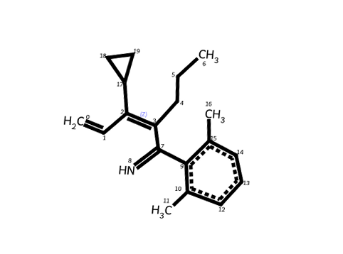 C=C/C(=C(/CCC)C(=N)c1c(C)cccc1C)C1CC1